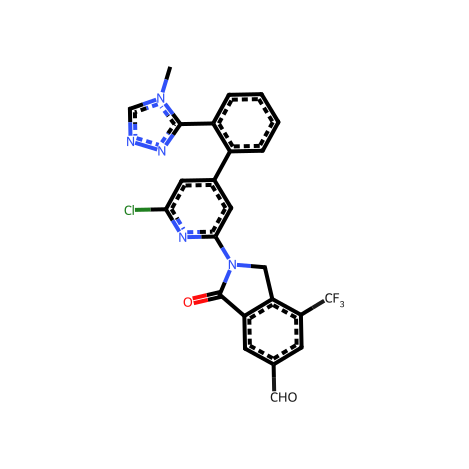 Cn1cnnc1-c1ccccc1-c1cc(Cl)nc(N2Cc3c(cc(C=O)cc3C(F)(F)F)C2=O)c1